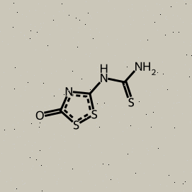 NC(=S)Nc1nc(=O)ss1